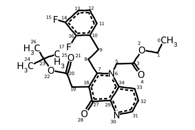 CCOC(=O)Cn1c(CCc2cccc(F)c2F)c(CC(=O)OC(C)(C)C)c(=O)c2ncccc21